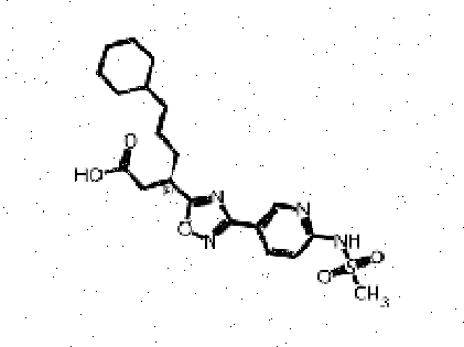 CS(=O)(=O)Nc1ccc(-c2noc([C@H](CCCC3CCCCC3)CC(=O)O)n2)cn1